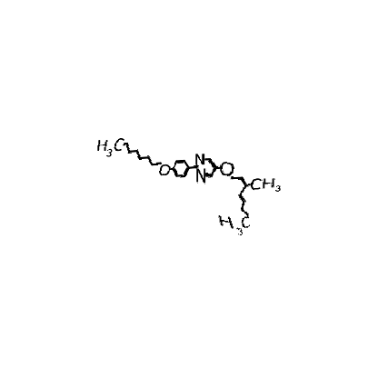 CCCCCCCCOc1ccc(-c2ncc(OCCC(C)CCCCC)cn2)cc1